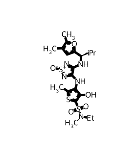 CCN(C)S(=O)(=O)c1sc(C)c(Nc2n[s+]([O-])nc2N[C@@H](c2cc(C)c(C)o2)C(C)C)c1O